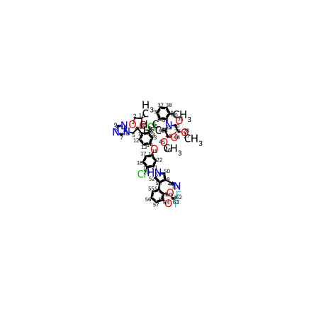 CC1COC(Cn2cncn2)(c2ccc(Oc3ccc(Cl)cc3)cc2Cl)O1.COCC(=O)N(c1c(C)cccc1C)[C@H](C)C(=O)OC.N#Cc1c[nH]cc1-c1cccc2c1OC(F)(F)O2